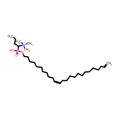 C=CCCCCCCCCCCC/C=C\CCCCCCCCCCOP(=O)(O)C(CCC)[N+](C)(C)C